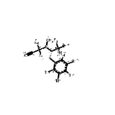 [2H]c1c([2H])c([2H])c(C[C@H](N(C)C([2H])([2H])C#C)C([2H])([2H])[2H])c([2H])c1[2H]